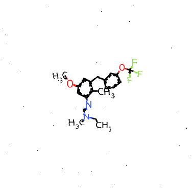 CCN(C)C=Nc1cc(OC)cc(Cc2cccc(OC(F)(F)F)c2)c1C